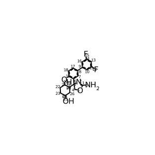 NC1=NC2(CO1)c1cc(-c3cc(F)cc(F)c3)ccc1OC1CC[C@H](O)C[C@@H]12